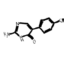 Nc1ncc(-c2ccc(Cl)cc2)c(=O)[nH]1